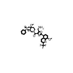 COc1ccc(-c2nc(C(=O)N3CCC(CS(=O)(=O)c4ccccc4)(OC)CC3)c(CN)o2)c2ccc(C(F)(F)F)nc12